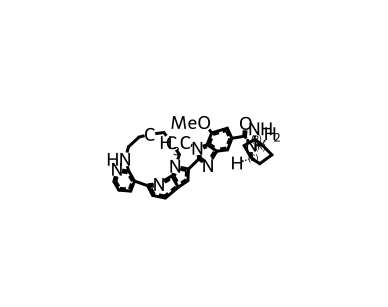 COc1cc(C(=O)N2[C@H]3CC[C@@H]2[C@H](N)C3)cc2nc(-c3cc4ccc5nc4n3CCCCCCNc3ncccc3-5)n(C)c12